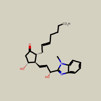 Cn1c([C@H](O)C=C[C@H]2[C@H](O)CC(=O)[C@@H]2CC=CCCCC(=O)O)nc2ccccc21